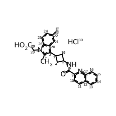 Cc1c(C2CC(NC(=O)c3ccc4ccccc4n3)C2)c2cc(F)ccc2n1CC(=O)O.Cl